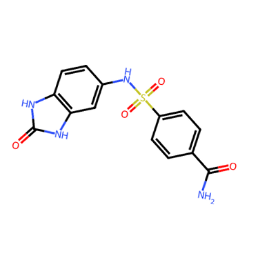 NC(=O)c1ccc(S(=O)(=O)Nc2ccc3[nH]c(=O)[nH]c3c2)cc1